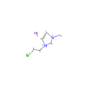 CN1C=CN(CCBr)C1.I